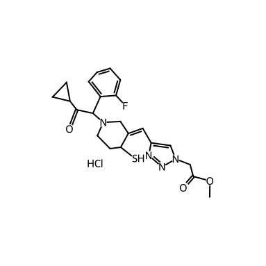 COC(=O)Cn1cc(/C=C2/CN(C(C(=O)C3CC3)c3ccccc3F)CCC2S)nn1.Cl